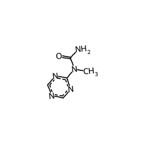 CN(C(N)=O)c1ncncn1